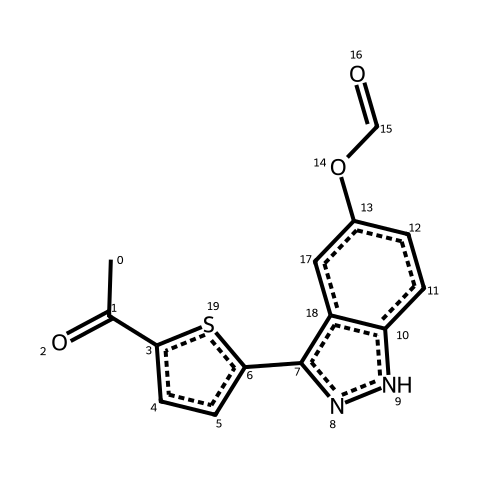 CC(=O)c1ccc(-c2n[nH]c3ccc(OC=O)cc23)s1